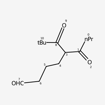 CCCC(=O)C(CCCC=O)C(=O)C(C)(C)C